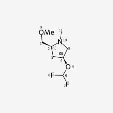 COC[C@@H]1C[C@H](OC(F)F)CN1C